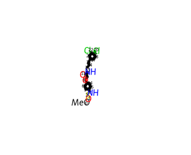 COOSNc1ccc(OCC(=O)NC/C=C/c2ccc(Cl)c(Cl)c2)cc1